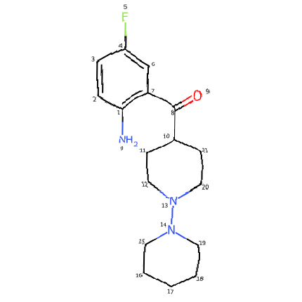 Nc1ccc(F)cc1C(=O)C1CCN(N2CCCCC2)CC1